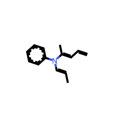 C=C/C=C(\C)N(/C=C/C)c1ccccc1